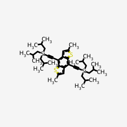 Cc1cc2c(C#C[Si](CC(C)C)(CC(C)C)CC(C)C)c3sc(C)cc3c(C#C[Si](CC(C)C)(CC(C)C)CC(C)C)c2s1